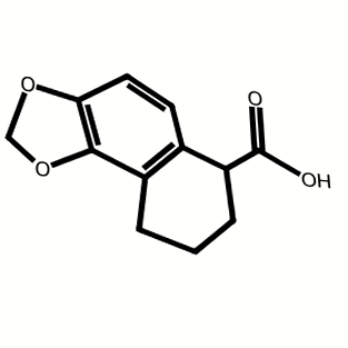 O=C(O)C1CCCc2c1ccc1c2OCO1